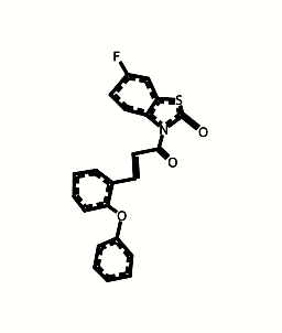 O=C(C=Cc1ccccc1Oc1ccccc1)n1c(=O)sc2cc(F)ccc21